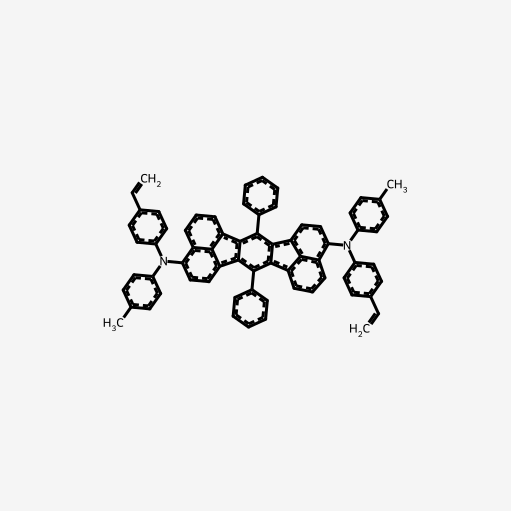 C=Cc1ccc(N(c2ccc(C)cc2)c2ccc3c4c(-c5ccccc5)c5c6cccc7c(N(c8ccc(C)cc8)c8ccc(C=C)cc8)ccc(c5c(-c5ccccc5)c4c4cccc2c43)c76)cc1